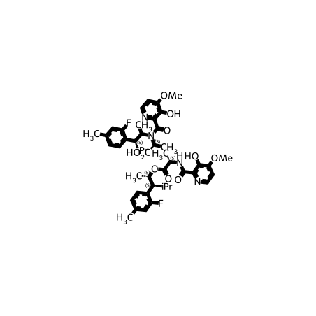 COc1ccnc(C(=O)N(C(C)[C@H](c2ccc(C)cc2F)C(C)C)[C@@H](C)C(=O)O)c1O.COc1ccnc(C(=O)N[C@@H](C)C(=O)O[C@@H](C)[C@H](c2ccc(C)cc2F)C(C)C)c1O